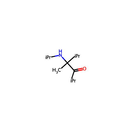 CC(C)NC(C)(C(=O)C(C)C)C(C)C